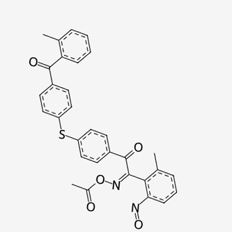 CC(=O)O/N=C(\C(=O)c1ccc(Sc2ccc(C(=O)c3ccccc3C)cc2)cc1)c1c(C)cccc1N=O